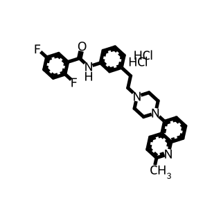 Cc1ccc2c(N3CCN(CCc4cccc(NC(=O)c5cc(F)ccc5F)c4)CC3)cccc2n1.Cl.Cl